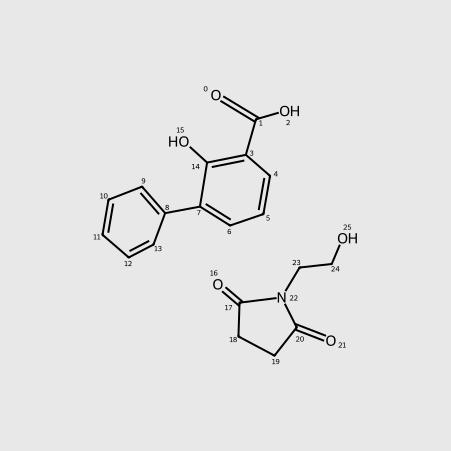 O=C(O)c1cccc(-c2ccccc2)c1O.O=C1CCC(=O)N1CCO